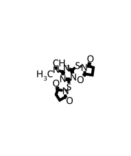 CN(C)c1nc(SN2C(=O)CCC2=O)nc(SN2C(=O)CCC2=O)n1